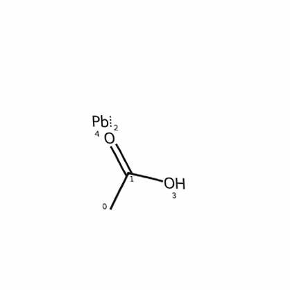 CC(=O)O.[Pb]